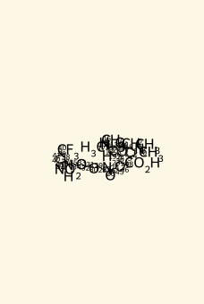 CN(C)c1ccc2c(c1)[Si](C)(C)C1=CC(N(C)C)C=CC1=C2c1cc(C(=O)NCCOCCOCCNc2cc(C(F)(F)F)ccc2[N+](=O)[O-])ccc1C(=O)O